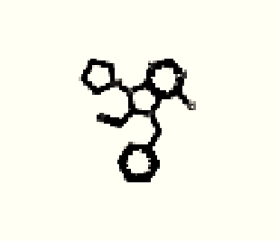 O=CC1N(Cc2ccccc2)c2c(Cl)ncnc2N1[SH]1CCCC1